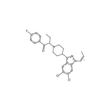 C/C=C\n1nc(C2CCN(C(CC)C(=O)c3ccc(F)cc3)CC2)c2cc(Cl)c(Cl)cc21